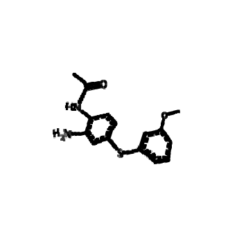 COc1cccc(Sc2ccc(NC(C)=O)c(N)c2)c1